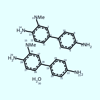 CNc1cc(-c2ccc(N)cc2)ccc1N.CNc1cc(-c2ccc(N)cc2)ccc1N.O